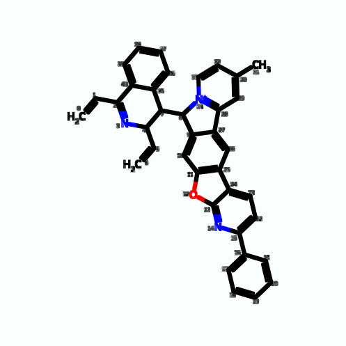 C=CC1=NC(C=C)C(C2c3cc4oc5nc(-c6ccccc6)ccc5c4cc3-c3cc(C)cc[n+]32)c2ccccc21